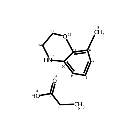 CCC(=O)O.Cc1cccc2c1OCCN2